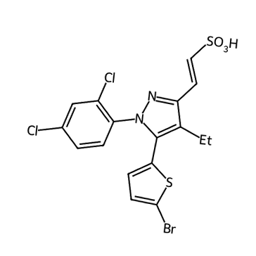 CCc1c(/C=C/S(=O)(=O)O)nn(-c2ccc(Cl)cc2Cl)c1-c1ccc(Br)s1